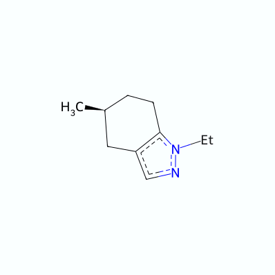 CCn1ncc2c1CC[C@H](C)C2